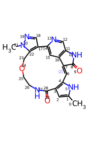 Cc1cc2c([nH]1)/C=C1\C(=O)Nc3cnc(cc31)-c1cnn(C)c1COCCNC2=O